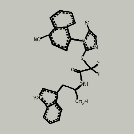 N#Cc1ccc(-n2c(Br)cnc2SC(F)(F)C(=O)NC(Cc2c[nH]c3ccccc23)C(=O)O)c2ccccc12